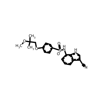 COC(C)(C)COc1ccc(S(=O)(=O)Nc2cccc3c(C#N)c[nH]c23)cc1